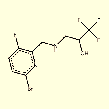 OC(CNCc1nc(Br)ccc1F)C(F)(F)F